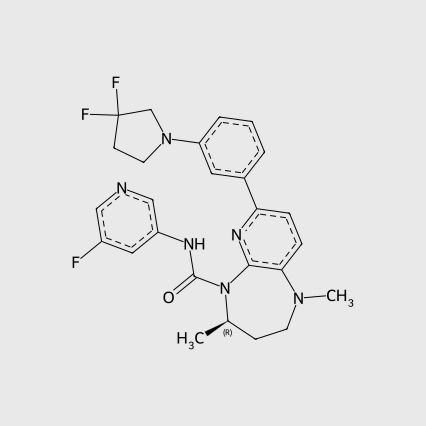 C[C@@H]1CCN(C)c2ccc(-c3cccc(N4CCC(F)(F)C4)c3)nc2N1C(=O)Nc1cncc(F)c1